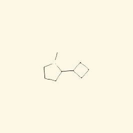 CN1CCCC1C1CCC1